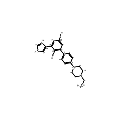 CCN1CCN(c2ccc(-c3cc(F)cc(-c4cs[c]n4)c3F)cc2)CC1